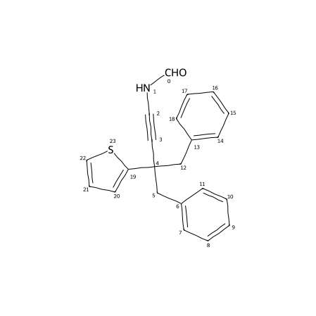 O=CNC#CC(Cc1ccccc1)(Cc1ccccc1)c1cccs1